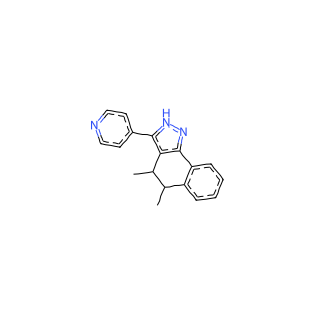 CC1c2ccccc2-c2n[nH]c(-c3ccncc3)c2C1C